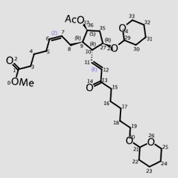 COC(=O)CCC/C=C\C[C@@H]1[C@@H](/C=C/C(=O)CCCCCOC2CCCCO2)[C@H](OC2CCCCO2)C[C@@H]1OC(C)=O